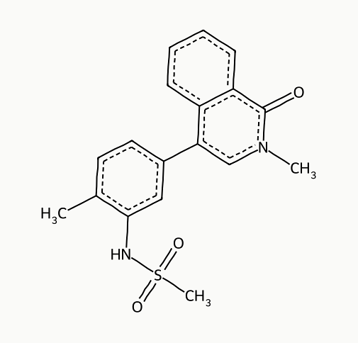 Cc1ccc(-c2cn(C)c(=O)c3ccccc23)cc1NS(C)(=O)=O